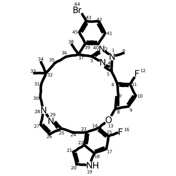 Cn1nc2nc1-c1cc(ccc1F)Oc1c(F)cc3[nH]ccc3c1Cc1ccn(n1)CCC(C)(C)CCC2(C)c1cccc(Br)c1